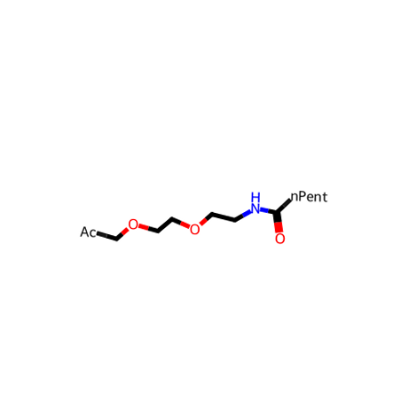 CCCCCC(=O)NCCOCCOCC(C)=O